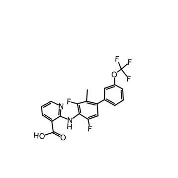 Cc1c(-c2cccc(OC(F)(F)F)c2)cc(F)c(Nc2ncccc2C(=O)O)c1F